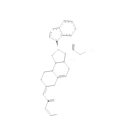 CC/C=C\C(=O)/C=C1/CCC2C(=CC[C@@]3(C)C2C[C@@H](c2csc4ccccc24)[C@@H]3C(=O)COC(C)=O)C1